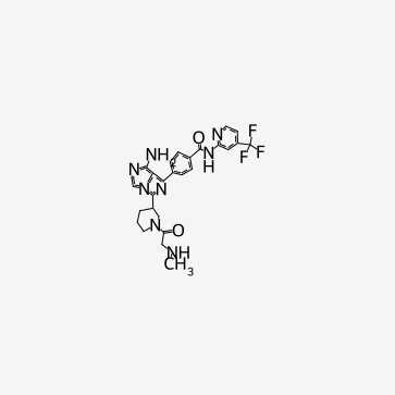 CNCC(=O)N1CCCC(c2nc(-c3ccc(C(=O)Nc4cc(C(F)(F)F)ccn4)cc3)c3c(N)nccn23)C1